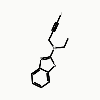 CCN(CC#CI)c1nc2ccccc2s1